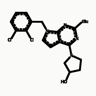 CC(C)(C)c1nc(N2CCC(O)C2)c2ccn(Cc3cccc(Cl)c3Cl)c2n1